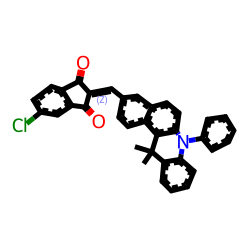 CC1(C)c2ccccc2N(c2ccccc2)c2ccc3cc(/C=C4/C(=O)c5ccc(Cl)cc5C4=O)ccc3c21